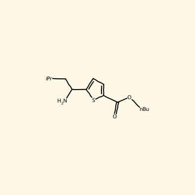 CCCCOC(=O)c1ccc(C(N)CC(C)C)s1